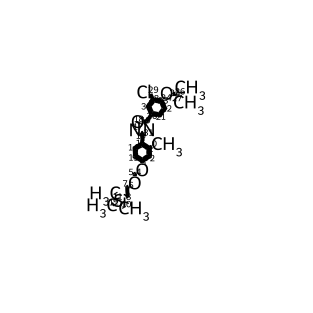 Cc1cc(OCOCC[Si](C)(C)C)ccc1-c1noc(-c2ccc(OC(C)C)c(Cl)c2)n1